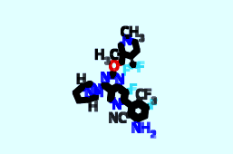 CN1CC[C@H](C(F)F)[C@](C)(COc2nc(N3C[C@H]4CC[C@@H](C3)N4)c3cnc(-c4c(C#N)c(N)cc(F)c4C(F)(F)F)c(F)c3n2)C1